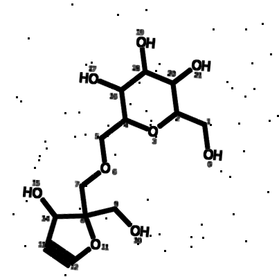 OCC1OC(COCC2(CO)OC#CC2O)C(O)C(O)C1O